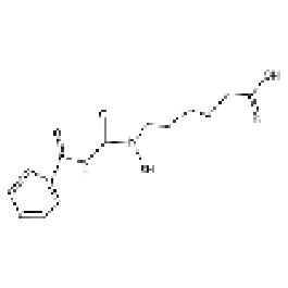 O=C(O)CCCCCN(S)C(=O)NC(=O)c1ccccc1